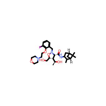 CC1C(NC(=O)[C@@H]2[C@H]([C@H](C)O)C(CO)ON2Cc2cccc(I)c2OCCN2CCOCC2)C[C@H]2C[C@@H]1C2(C)C